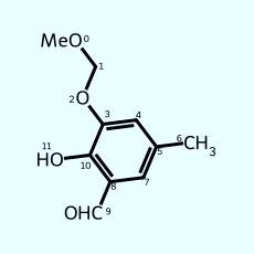 COCOc1cc(C)cc(C=O)c1O